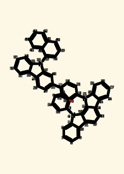 c1ccc(-n2c3ccccc3c3ccc4c5ccccc5n(-c5ccc(-c6ccc7c8ccccc8n(-c8cccc9ccccc89)c7c6)cc5)c4c32)cc1